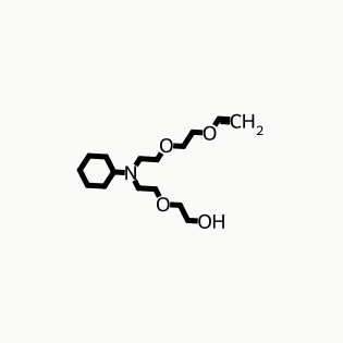 C=COCCOCCN(CCOCCO)C1CCCCC1